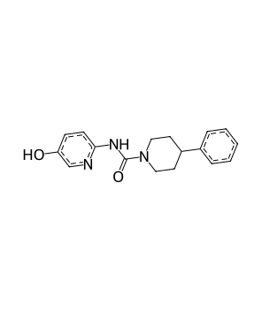 O=C(Nc1ccc(O)cn1)N1CCC(c2ccccc2)CC1